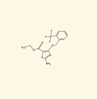 CCOC(=O)c1sc(N)nc1OCc1ccccc1C(F)(F)F